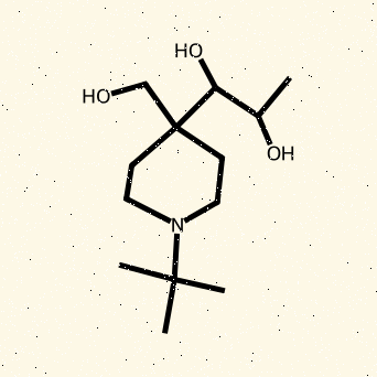 CC(O)C(O)C1(CO)CCN(C(C)(C)C)CC1